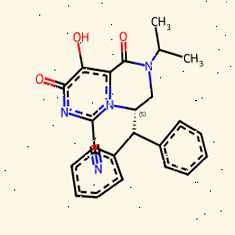 CC(C)N1C[C@H](C(c2ccccc2)c2ccccc2)n2c(C#N)nc(=O)c(O)c2C1=O